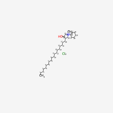 CCCCCCCCCCCCCCCCCCCCC[N+](C)(CCO)C1CCCCC1.[Cl-]